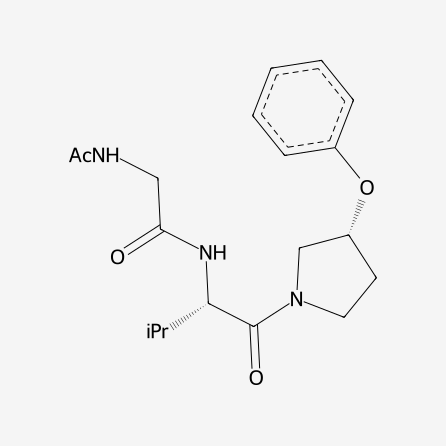 CC(=O)NCC(=O)N[C@H](C(=O)N1CC[C@@H](Oc2ccccc2)C1)C(C)C